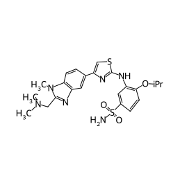 CC(C)Oc1ccc(S(N)(=O)=O)cc1Nc1nc(-c2ccc3c(c2)nc(CN(C)C)n3C)cs1